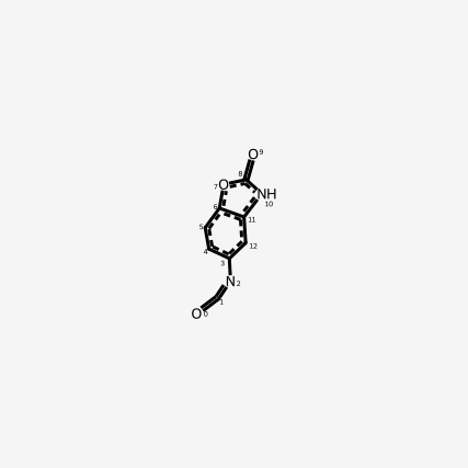 O=C=Nc1ccc2oc(=O)[nH]c2c1